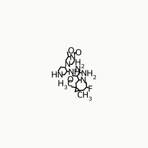 CCC12CC(C(C(=O)NC3CNCCC3N3CCN4C(=O)OCC4C3)C(N)N)/N=C\C(F)CC1(C)C2